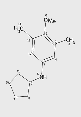 COc1c(C)cc(NC2CCCC2)cc1C